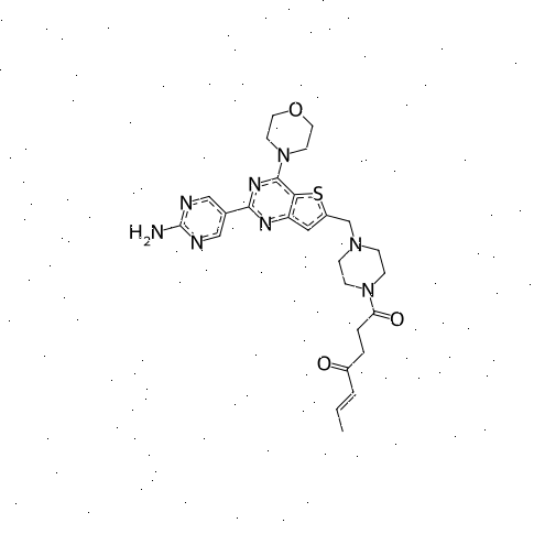 C/C=C/C(=O)CCC(=O)N1CCN(Cc2cc3nc(-c4cnc(N)nc4)nc(N4CCOCC4)c3s2)CC1